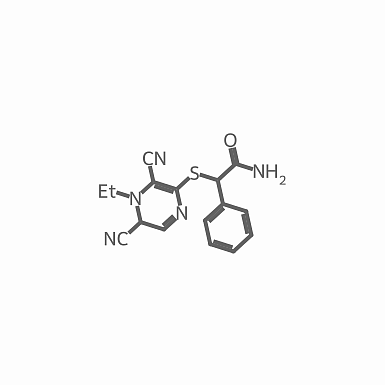 CCN1C(C#N)=C(SC(C(N)=O)c2ccccc2)N=CC1C#N